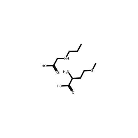 CCCNCC(=O)O.CSCCC(N)C(=O)O